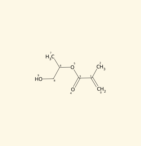 C=C(C)C(=O)OC(C)CO